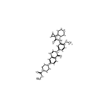 CC(C)(C)OC(=O)N1CCN(c2ccc3c(=O)n(-c4ccc(OC(F)(F)F)c(NC(=O)C5(N6CCOCC6)CC5)c4)cnc3c2)CC1